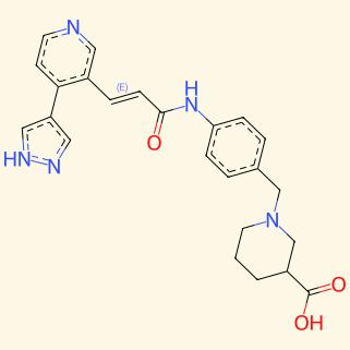 O=C(/C=C/c1cnccc1-c1cn[nH]c1)Nc1ccc(CN2CCCC(C(=O)O)C2)cc1